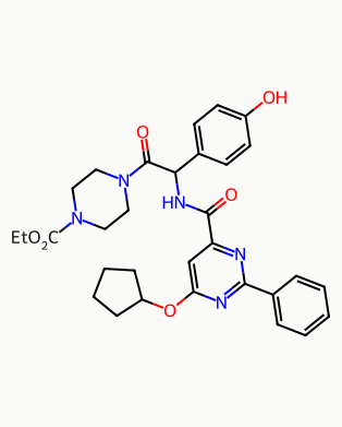 CCOC(=O)N1CCN(C(=O)C(NC(=O)c2cc(OC3CCCC3)nc(-c3ccccc3)n2)c2ccc(O)cc2)CC1